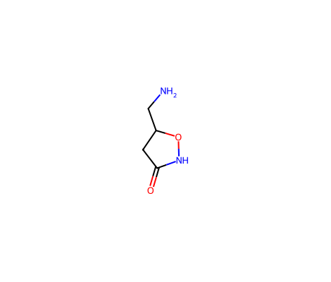 NCC1CC(=O)NO1